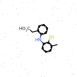 Cc1cccc(Nc2ccccc2CC(=O)O)c1S